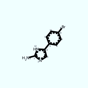 Nc1ncc(-c2ccc(Br)cc2)[nH]1